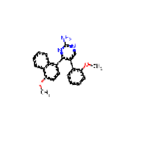 COc1ccccc1-c1cnc(N)nc1-c1ccc(OC)c2ccccc12